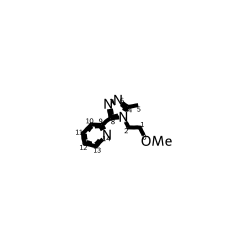 COCCn1c(C)nnc1-c1ccccn1